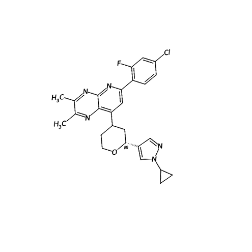 Cc1nc2nc(-c3ccc(Cl)cc3F)cc(C3CCO[C@@H](c4cnn(C5CC5)c4)C3)c2nc1C